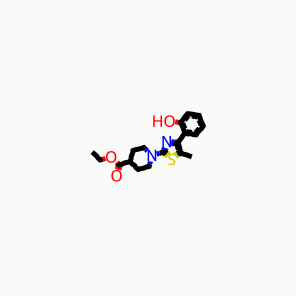 CCOC(=O)C1CCN(c2nc(-c3ccccc3O)c(C)s2)CC1